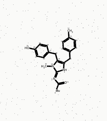 CCC(C)C(=O)/N=c1\[nH]c(Cc2ccc(C)cc2)c(Cc2ccc(O)cc2)n1C